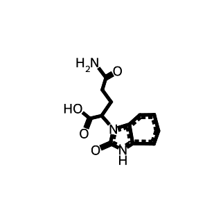 NC(=O)CCC(C(=O)O)n1c(=O)[nH]c2ccccc21